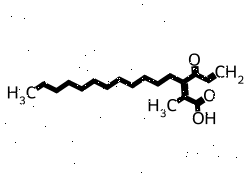 C=CC(=O)C(CCCCCCCCCCCC)=C(C)C(=O)O